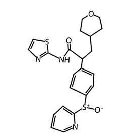 O=C(Nc1nccs1)C(CC1CCOCC1)c1ccc([S+]([O-])c2ccccn2)cc1